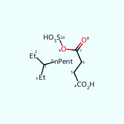 CCCCCC(CC)CC.O=C(O)CCC(=O)OS(=O)(=O)O